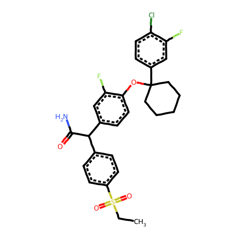 CCS(=O)(=O)c1ccc(C(C(N)=O)c2ccc(OC3(c4ccc(Cl)c(F)c4)CCCCC3)c(F)c2)cc1